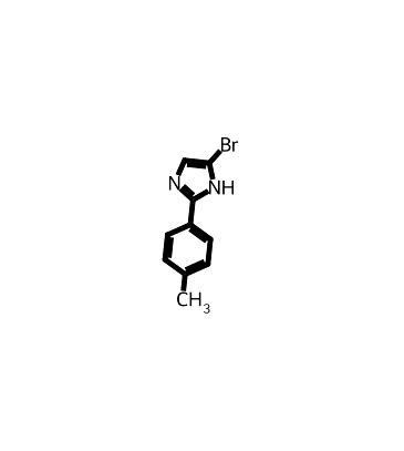 Cc1ccc(-c2ncc(Br)[nH]2)cc1